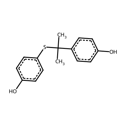 CC(C)(Sc1ccc(O)cc1)c1ccc(O)cc1